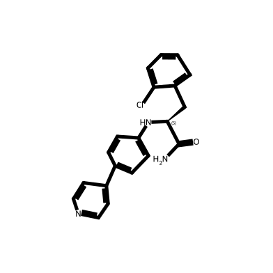 NC(=O)[C@H](Cc1ccccc1Cl)Nc1ccc(-c2ccncc2)cc1